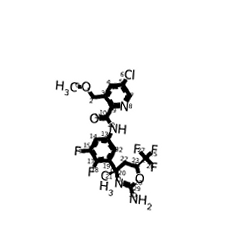 COCc1cc(Cl)cnc1C(=O)Nc1cc(F)c(F)c([C@]2(C)C[C@@H](C(F)(F)F)OC(N)=N2)c1